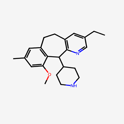 CCc1cnc2c(c1)CCc1cc(C)cc(OC)c1C2C1CCNCC1